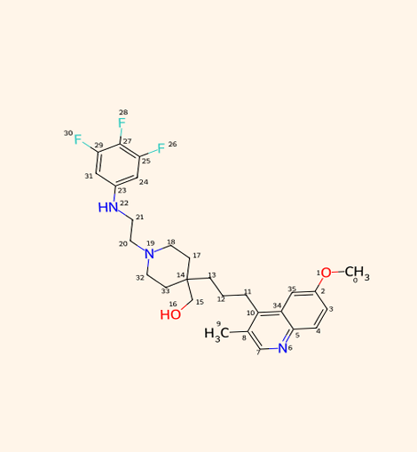 COc1ccc2ncc(C)c(CCCC3(CO)CCN(CCNc4cc(F)c(F)c(F)c4)CC3)c2c1